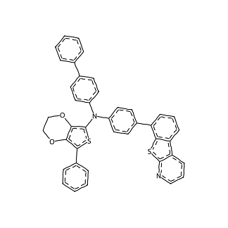 c1ccc(-c2ccc(N(c3ccc(-c4cccc5c4sc4ncccc45)cc3)c3sc(-c4ccccc4)c4c3OCCO4)cc2)cc1